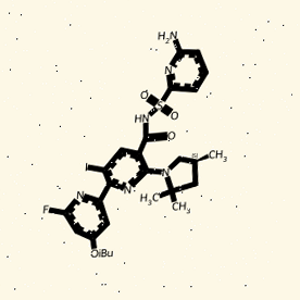 CC(C)COc1cc(F)nc(-c2nc(N3C[C@@H](C)CC3(C)C)c(C(=O)NS(=O)(=O)c3cccc(N)n3)cc2I)c1